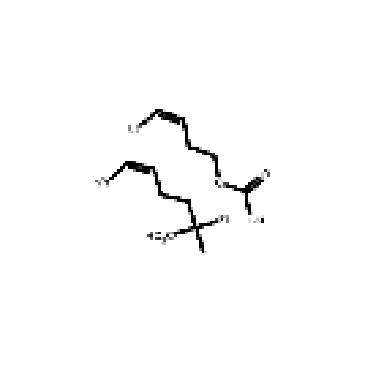 CC/C=C\CCOC(=O)C(C)CC.CCC/C=C\CCC(C)(CC)C(=O)O